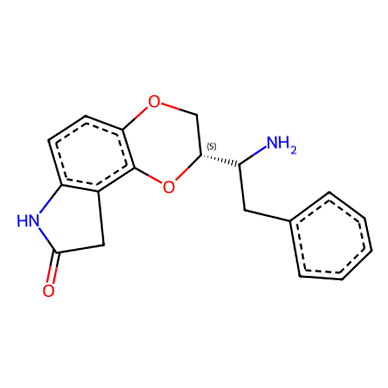 NC(Cc1ccccc1)[C@H]1COc2ccc3c(c2O1)CC(=O)N3